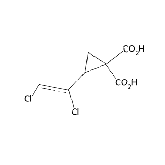 O=C(O)C1(C(=O)O)CC1C(Cl)=CCl